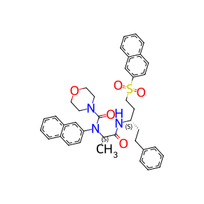 C[C@@H](C(=O)N[C@@H](CCc1ccccc1)CCS(=O)(=O)c1ccc2ccccc2c1)N(C(=O)N1CCOCC1)c1ccc2ccccc2c1